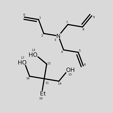 C=CCN(CC=C)CC=C.CCC(CO)(CO)CO